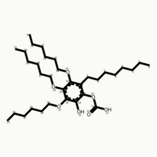 CCCCCCCCc1c(OC(=O)O)c(O)c(OCCCCCC)c(OCCCCCC)c1OCCCCCC